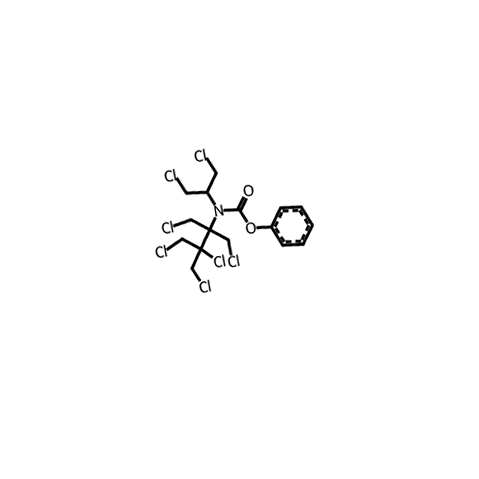 O=C(Oc1ccccc1)N(C(CCl)CCl)C(CCl)(CCl)C(Cl)(CCl)CCl